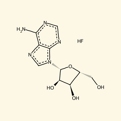 F.Nc1ncnc2c1ncn2[C@@H]1O[C@H](CO)[C@@H](O)[C@H]1O